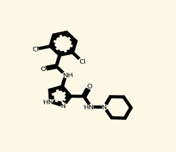 O=C(NN1CCCCC1)c1n[nH]cc1NC(=O)c1c(Cl)cccc1Cl